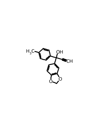 C#CC(O)(c1ccc(C)cc1)c1ccc2c(c1)OCO2